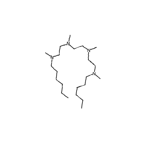 CCCCCCN(C)CCN(C)CCN(C)CCN(C)CCCCCC